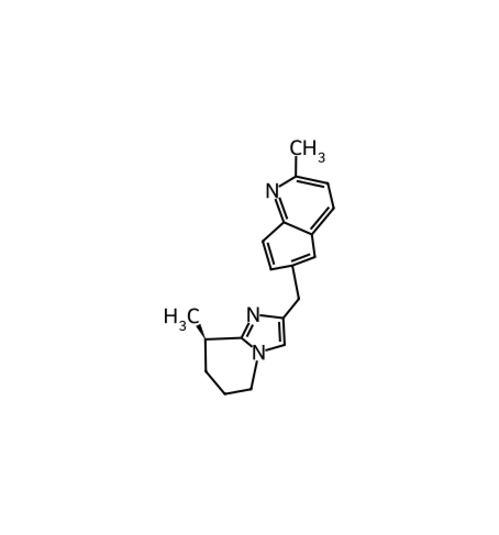 Cc1ccc2cc(Cc3cn4c(n3)[C@H](C)CCC4)ccc2n1